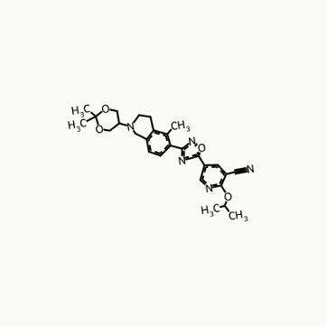 Cc1c(-c2noc(-c3cnc(OC(C)C)c(C#N)c3)n2)ccc2c1CCN(C1COC(C)(C)OC1)C2